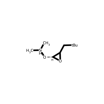 C[SiH](C)O[C@H]1OC1CC(C)(C)C